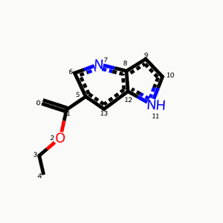 C=C(OCC)c1cnc2cc[nH]c2c1